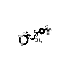 CCNC(=O)c1ccc(C(=O)OC[C@H](C)Cn2nc(CC)c3c2CCCOCCCNC3=O)cc1